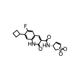 O=C(N[C@@H]1C=CS(=O)(=O)C1)c1cc2cc(F)c(C3CCC3)cc2[nH]c1=O